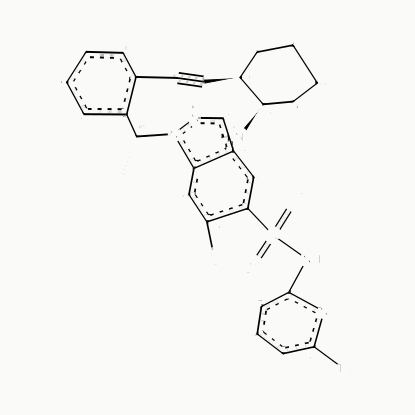 C[C@H](c1ccccc1C#C[C@H]1CCCC[C@H]1N)n1ncc2cc(S(=O)(=O)Nc3cccc(F)n3)c(F)cc21